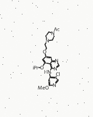 COc1cc(Nc2ncnc3cc(OCCN4CCN(C(C)=O)CC4)cc(OC(C)C)c23)c(Cl)cn1